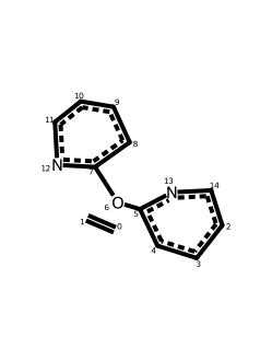 C=C.c1ccc(Oc2ccccn2)nc1